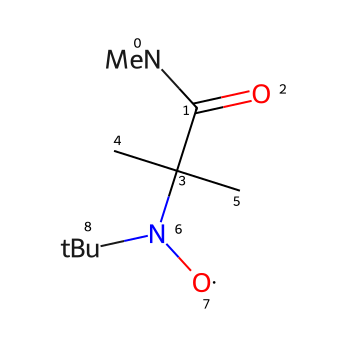 CNC(=O)C(C)(C)N([O])C(C)(C)C